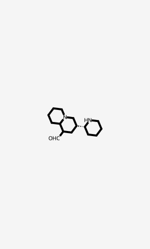 O=CC1CC([C@H]2CCCCN2)CN2CCCCC12